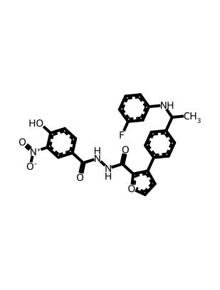 CC(Nc1cccc(F)c1)c1ccc(-c2ccoc2C(=O)NNC(=O)c2ccc(O)c([N+](=O)[O-])c2)cc1